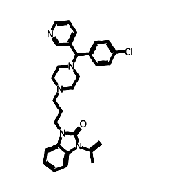 C=C(C)n1c(=O)n(CCCN2CCN(C(c3ccc(Cl)cc3)c3cccnc3)CC2)c2ccccc21